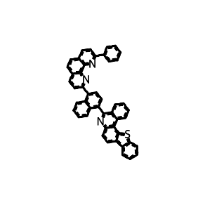 c1ccc(-c2ccc3ccc4ccc(-c5ccc(-c6nc7ccc8c9ccccc9sc8c7c7ccccc67)c6ccccc56)nc4c3n2)cc1